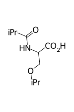 CC(C)OCC(NC(=O)C(C)C)C(=O)O